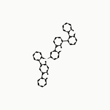 c1ccc2c(c1)oc1cc3c(cc12)c1ccccc1n3-c1ccc2sc3c(-c4cccc5oc6ccccc6c45)cccc3c2c1